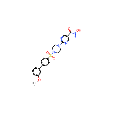 COc1cccc(-c2ccc(S(=O)(=O)N3CCN(c4ncc(C(=O)NO)cn4)CC3)cc2)c1